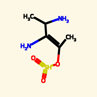 CC(O[SH](=O)=O)=C(N)C(C)N